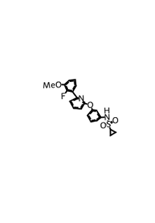 COc1cccc(-c2cccc(Oc3cccc(NS(=O)(=O)C4CC4)c3)n2)c1F